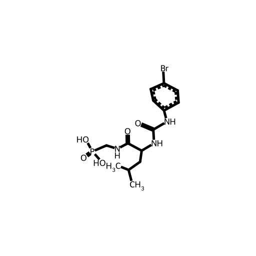 CC(C)CC(NC(=O)Nc1ccc(Br)cc1)C(=O)NCP(=O)(O)O